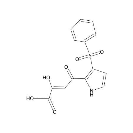 O=C(O)C(O)=CC(=O)c1[nH]ccc1S(=O)(=O)c1ccccc1